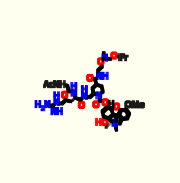 COc1ccc(C)c2c1O[C@H]1C(OC(=O)N3CCC(C(=O)NCCON(C)COC(C)C)CC3CNC(=O)[C@H](CCCNC(=N)N)NC(=O)CNC(C)=O)=CC[C@@]3(O)[C@@H](C)N(C)CC[C@]213